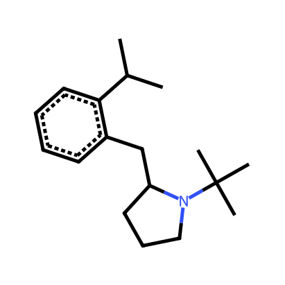 CC(C)c1ccccc1CC1CCCN1C(C)(C)C